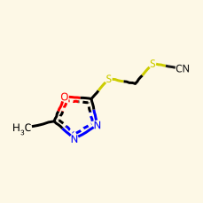 Cc1nnc(SCSC#N)o1